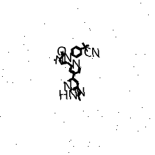 Cc1nc2cc(-c3ccnc(-c4cn(C)c(=O)n4-c4ccc(C(C)(C)C#N)cc4)c3)cnc2[nH]1